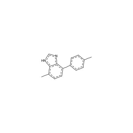 Cc1ccc(-c2ccc(C)c3[nH]cnc23)cc1